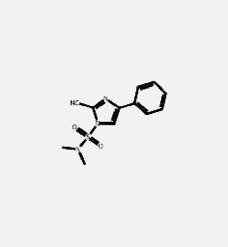 CN(C)S(=O)(=O)n1cc(-c2ccccc2)nc1C#N